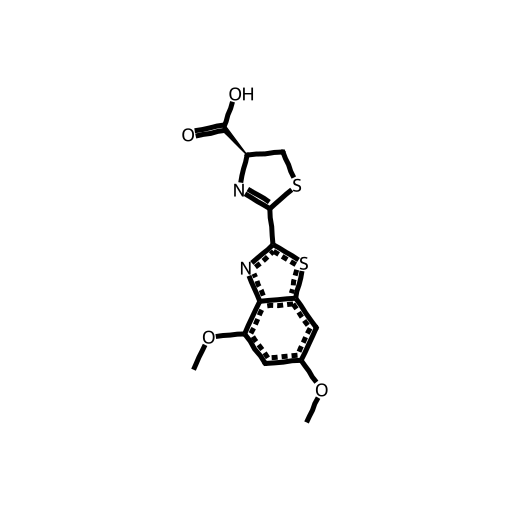 COc1cc(OC)c2nc(C3=N[C@@H](C(=O)O)CS3)sc2c1